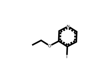 CCOc1cnccc1I